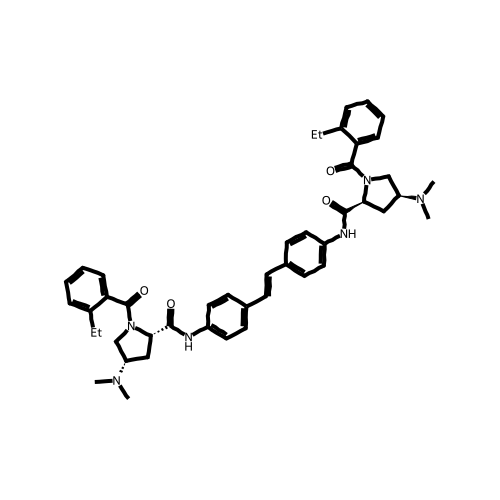 CCc1ccccc1C(=O)N1C[C@@H](N(C)C)C[C@H]1C(=O)Nc1ccc(/C=C/c2ccc(NC(=O)[C@@H]3C[C@H](N(C)C)CN3C(=O)c3ccccc3CC)cc2)cc1